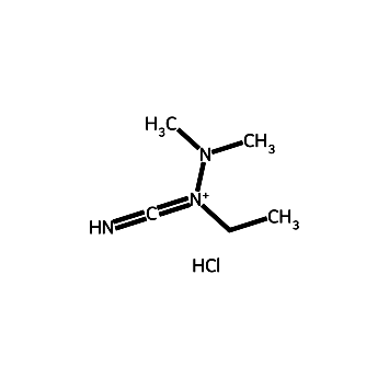 CC[N+](=C=N)N(C)C.Cl